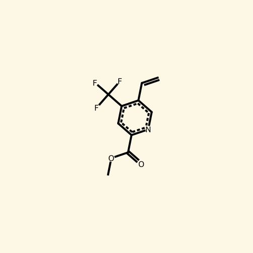 C=Cc1cnc(C(=O)OC)cc1C(F)(F)F